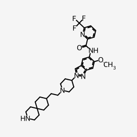 COc1cc2nn(C3CCN(CCC4CCC5(CCNCC5)CC4)CC3)cc2cc1NC(=O)c1cccc(C(F)(F)F)n1